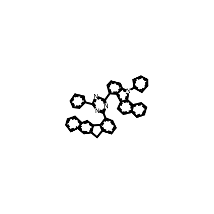 c1ccc(-c2nc(-c3cccc4c3-c3cc5ccccc5cc3C4)nc(-c3cccc4c3c3ccc5ccccc5c3n4-c3ccccc3)n2)cc1